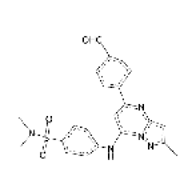 Cc1cc2nc(-c3ccc(C=O)cc3)cc(Nc3ccc(S(=O)(=O)N(C)C)cc3)n2n1